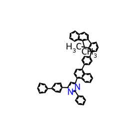 CC1(C)c2c(-c3ccc(-c4ccc(-c5cc(-c6ccc(-c7ccccc7)cc6)nc(-c6ccccc6)n5)c5ccccc45)cc3)cccc2-c2ccc3ccccc3c21